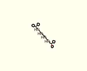 c1ccc(C(CCNCCCNCCCNCCCNCCC(c2ccccc2)c2ccccc2)c2ccccc2)cc1